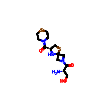 N[C@@H](CO)C(=O)N1CC2(C1)N[C@H](C(=O)N1CCSCC1)CS2